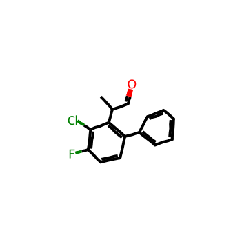 CC(C=O)c1c(-c2ccccc2)ccc(F)c1Cl